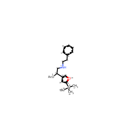 CC(=O)OC(CNCCc1ccccc1)c1coc([Si](C)(C)C(C)(C)C)c1